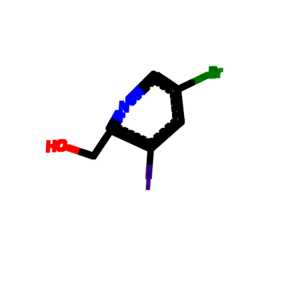 OCc1ncc(Br)cc1I